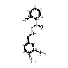 Nc1ccc(CNCC(O)c2ccccc2F)cc1N